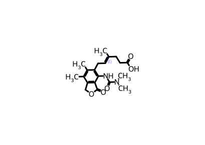 C/C(=C\Cc1c(C)c(C)c2c(c1NC(=O)N(C)C)C(=O)OC2)CCC(=O)O